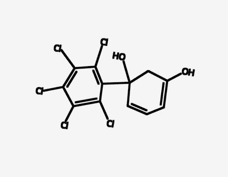 OC1=CC=CC(O)(c2c(Cl)c(Cl)c(Cl)c(Cl)c2Cl)C1